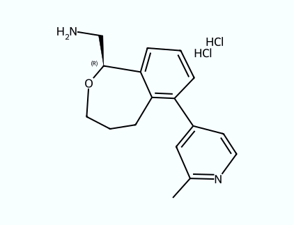 Cc1cc(-c2cccc3c2CCCO[C@H]3CN)ccn1.Cl.Cl